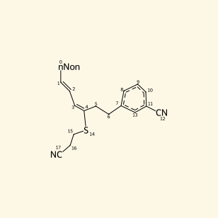 CCCCCCCCC/C=C/C=C(\CCc1cccc(C#N)c1)SCCC#N